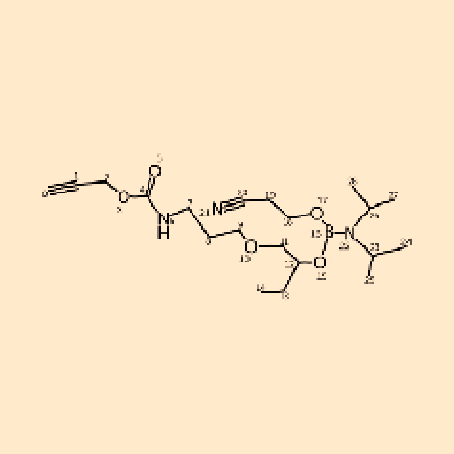 C#CCOC(=O)NCCCOCC(CC)OB(OCCC#N)N(C(C)C)C(C)C